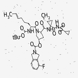 C=C[C@@H]1C[C@]1(NC(=O)C1C[C@@H](OC(=O)N2Cc3cccc(F)c3C2)CN1C(=O)[C@H](CCC/C=C/C)NC(=O)OC(C)(C)C)C(=O)NS(=O)(=O)C1CC1